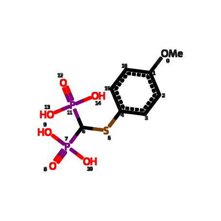 COc1ccc(SC(P(=O)(O)O)P(=O)(O)O)cc1